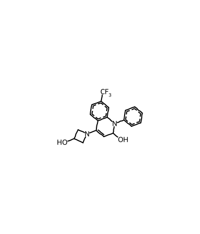 OC1CN(C2=CC(O)N(c3ccccc3)c3cc(C(F)(F)F)ccc32)C1